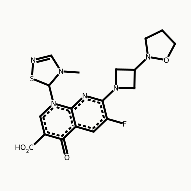 CN1C=NSC1n1cc(C(=O)O)c(=O)c2cc(F)c(N3CC(N4CCCO4)C3)nc21